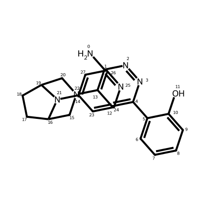 Nc1nnc(-c2ccccc2O)cc1N1CC2CCC(C1)N2c1ccncc1